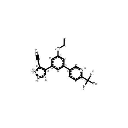 CCOc1cc(-c2ccc(C(F)(F)F)nc2)cc(-c2nn[nH]c2C#N)c1